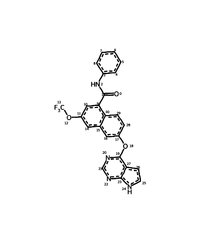 O=C(Nc1ccccc1)c1cc(OC(F)(F)F)cc2cc(Oc3ncnc4[nH]ccc34)ccc12